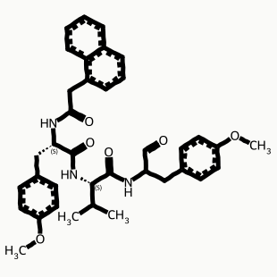 COc1ccc(CC(C=O)NC(=O)[C@@H](NC(=O)[C@H](Cc2ccc(OC)cc2)NC(=O)Cc2cccc3ccccc23)C(C)C)cc1